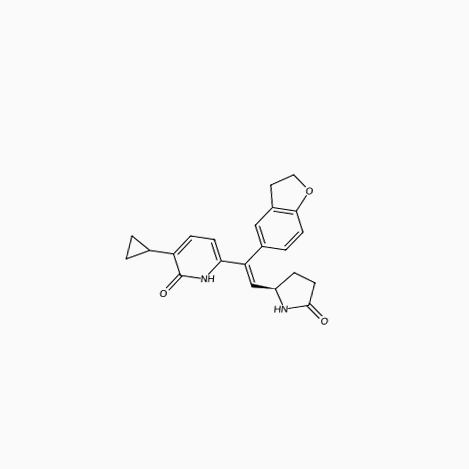 O=C1CC[C@H](/C=C(\c2ccc3c(c2)CCO3)c2ccc(C3CC3)c(=O)[nH]2)N1